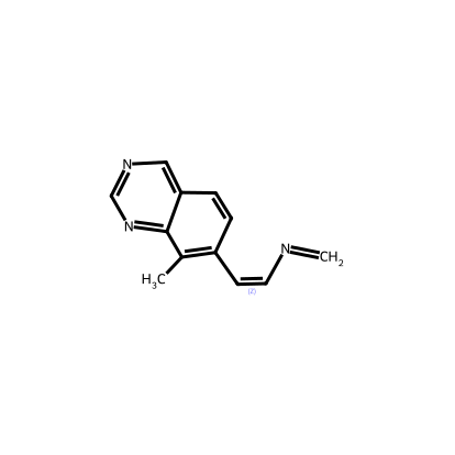 C=N/C=C\c1ccc2cncnc2c1C